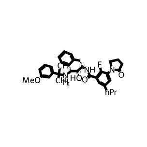 CCCc1cc(C(=O)N[C@@H](Cc2ccccc2)[C@H](O)CNC(C)(C)c2cccc(OC)c2)c(F)c(N2CCCC2=O)c1